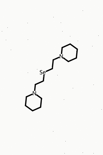 C1CCN(CC[Se]CCN2CCCCC2)CC1